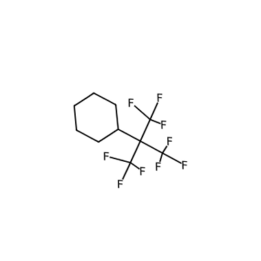 FC(F)(F)C(C1CCCCC1)(C(F)(F)F)C(F)(F)F